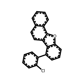 Clc1ccccc1-c1cccc2oc3c4ccccc4ccc3c12